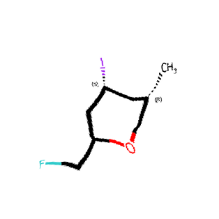 C[C@@H]1COC(CF)C[C@@H]1I